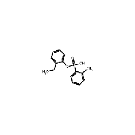 CCc1ccccc1OP(=O)(O)c1ccccc1C